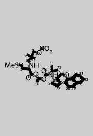 CSCCC(NCC(C)(C)CO[N+](=O)[O-])C(=O)OC(C)OC(=O)NC(C)C[C@H](Oc1cccc2ccccc12)c1cccs1